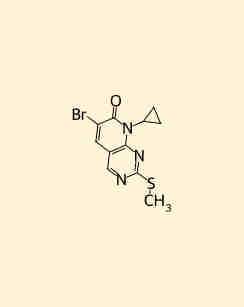 CSc1ncc2cc(Br)c(=O)n(C3CC3)c2n1